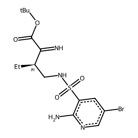 CC[C@H](CNS(=O)(=O)c1cc(Br)cnc1N)C(=N)C(=O)OC(C)(C)C